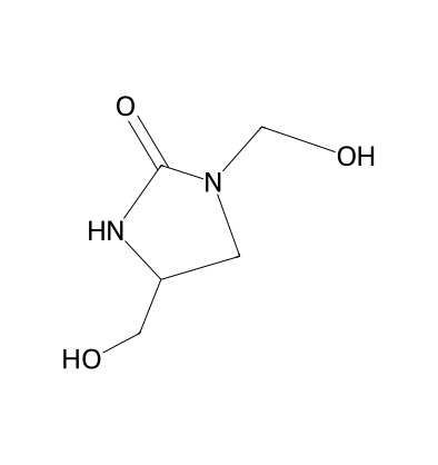 O=C1NC(CO)CN1CO